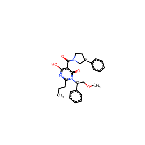 CCCc1nc(O)c(C(=O)N2CC[C@@H](c3ccccc3)C2)c(=O)n1[C@@H](COC)c1ccccc1